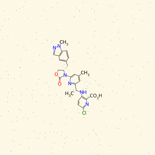 Cc1cc([C@@H](C)Nc2ccc(Cl)nc2C(=O)O)nc(N2C(=O)OC[C@@H]2Cc2ccc3c(cnn3C)c2)c1